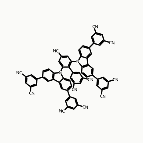 N#Cc1cc(C#N)cc(-c2ccc3c(c2)c2cc(-c4cc(C#N)cc(C#N)c4)ccc2n3-c2cc(C#N)cc(-n3c4ccc(-c5cc(C#N)cc(C#N)c5)cc4c4cc(-c5cc(C#N)cc(C#N)c5)ccc43)c2-c2cc(C#N)cc(C#N)c2)c1